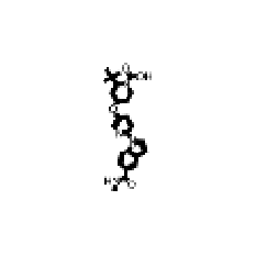 CNC(=O)c1ccc2c(ccn2-c2ccc(OC3CCN(C(=O)O)C(C(C)(C)C)C3)cn2)c1